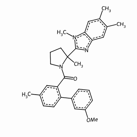 COc1cccc(-c2ccc(C)cc2C(=O)N2CCCC2(C)c2nc3cc(C)c(C)cc3n2C)c1